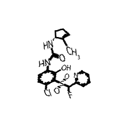 CC1=CCC[C@H]1NC(=O)Nc1ccc(Cl)c(S(=O)(=O)C(F)c2ccccn2)c1O